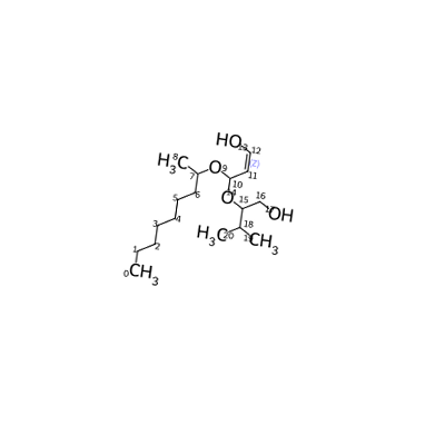 CCCCCCCC(C)OC(/C=C\O)OC(CO)C(C)C